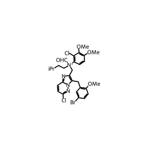 COc1ccc(Br)cc1Cc1c(C[N+](C=O)(CCC(C)C)c2ccc(OC)c(OC)c2Cl)nc2ccc(Cl)nn12